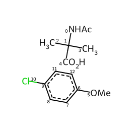 CC(=O)NC(C)(C)C(=O)O.COc1ccc(Cl)cc1